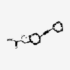 COC(=O)[C@@H](N)Cc1ccc(C#Cc2ccccc2)cc1